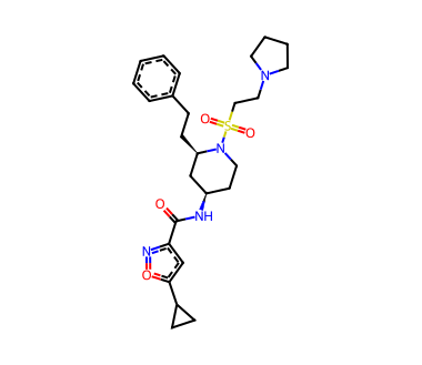 O=C(N[C@@H]1CCN(S(=O)(=O)CCN2CCCC2)[C@H](CCc2ccccc2)C1)c1cc(C2CC2)on1